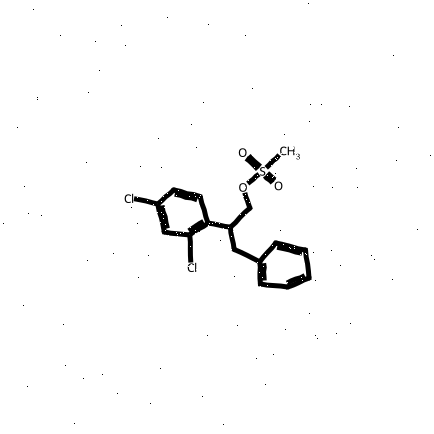 CS(=O)(=O)OCC(Cc1ccccc1)c1ccc(Cl)cc1Cl